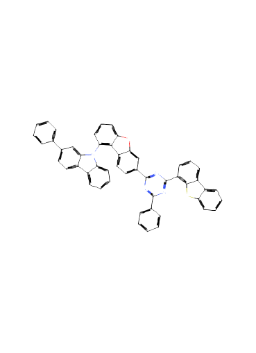 c1ccc(-c2ccc3c4ccccc4n(-c4cccc5oc6cc(-c7nc(-c8ccccc8)nc(-c8cccc9c8sc8ccccc89)n7)ccc6c45)c3c2)cc1